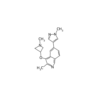 Cc1ncc2ccc(-c3cnn(C)c3)cc2c1OC1CN(C)C1